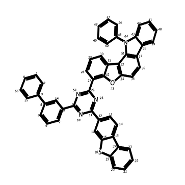 c1ccc(-c2cccc(-c3nc(-c4ccc5c(c4)sc4ccccc45)nc(-c4cccc5c4oc4ccc6c7ccccc7n(-c7ccccc7)c6c45)n3)c2)cc1